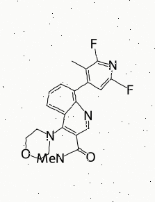 CNC(=O)c1cnc2c(-c3cc(F)nc(F)c3C)cccc2c1N1CCOCC1